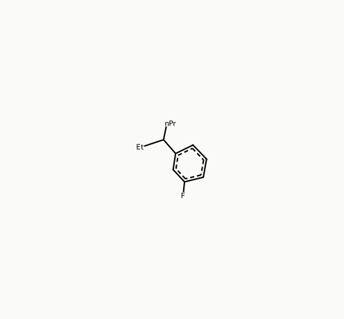 CCCC(CC)c1cccc(F)c1